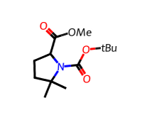 COC(=O)C1CCC(C)(C)N1C(=O)OC(C)(C)C